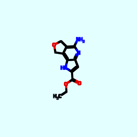 CCOC(=O)c1cc2nc(N)c3c(c2[nH]1)COC3